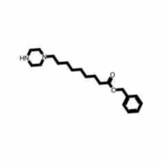 O=C(CCCCCCCCN1CCNCC1)OCc1ccccc1